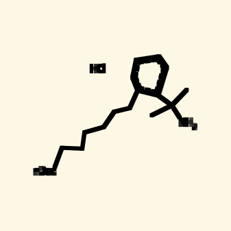 CCCCCCCCCCCCCCCCc1ccccc1C(C)(C)N.Cl